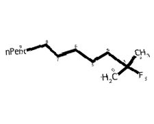 [CH2]C(C)(F)CCCCCCCCCC